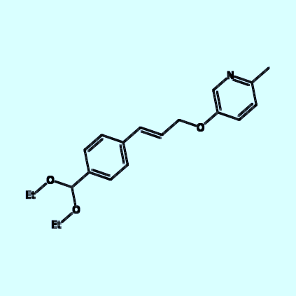 CCOC(OCC)c1ccc(/C=C/COc2ccc(C)nc2)cc1